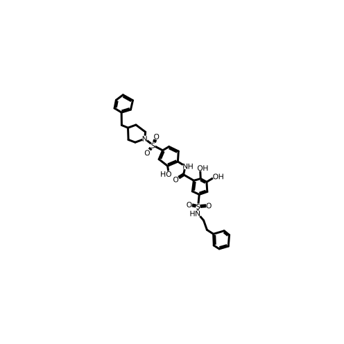 O=C(Nc1ccc(S(=O)(=O)N2CCC(Cc3ccccc3)CC2)cc1O)c1cc(S(=O)(=O)NCCc2ccccc2)cc(O)c1O